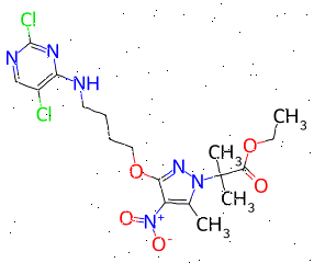 CCOC(=O)C(C)(C)n1nc(OCCCCNc2nc(Cl)ncc2Cl)c([N+](=O)[O-])c1C